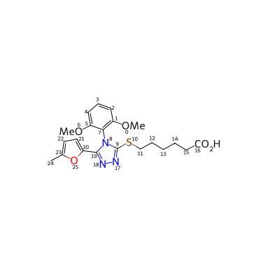 COc1cccc(OC)c1-n1c(SCCCCCC(=O)O)nnc1-c1ccc(C)o1